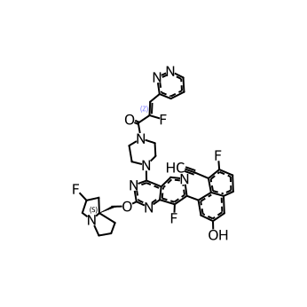 C#Cc1c(F)ccc2cc(O)cc(-c3ncc4c(N5CCN(C(=O)/C(F)=C/c6cccnn6)CC5)nc(OC[C@@]56CCCN5CC(F)C6)nc4c3F)c12